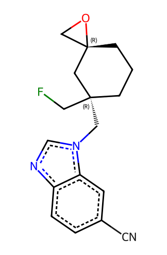 N#Cc1ccc2ncn(C[C@@]3(CF)CCC[C@]4(CO4)C3)c2c1